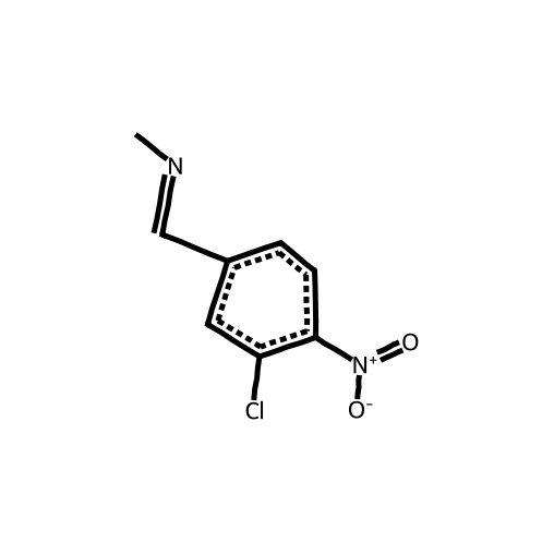 CN=Cc1ccc([N+](=O)[O-])c(Cl)c1